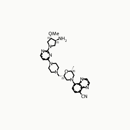 CO[C@H]1CN(c2nccc(N3CCN(C[C@H]4CN(c5ccc(C#N)c6nccnc56)C[C@@H](C)O4)CC3)n2)C[C@@H]1N